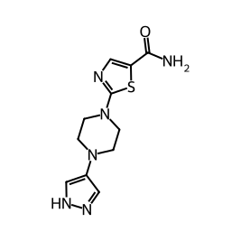 NC(=O)c1cnc(N2CCN(c3cn[nH]c3)CC2)s1